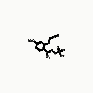 CCCS(=O)(=O)ON=C(c1ccc(OC)cc1OC=C=O)C(F)(F)F